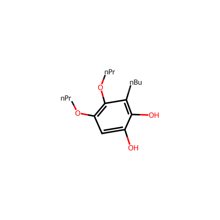 CCCCc1c(O)c(O)cc(OCCC)c1OCCC